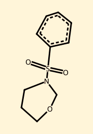 O=S(=O)(c1ccccc1)N1CCCOC1